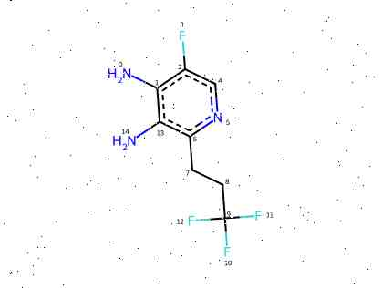 Nc1c(F)cnc(CCC(F)(F)F)c1N